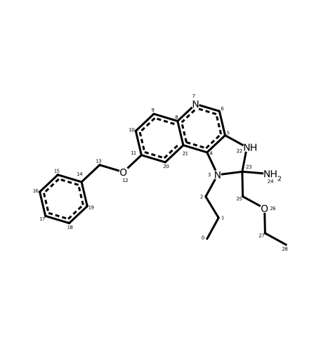 CCCN1c2c(cnc3ccc(OCc4ccccc4)cc23)NC1(N)COCC